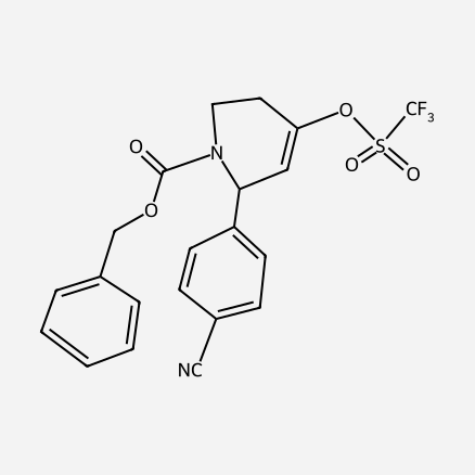 N#Cc1ccc(C2C=C(OS(=O)(=O)C(F)(F)F)CCN2C(=O)OCc2ccccc2)cc1